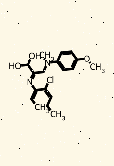 C/C=C(/N=C(\CN(C)c1ccc(OC)cc1)C(O)O)C(\Cl)=C/CC